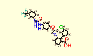 O=C(Nc1ccc(OC2CN(c3cccc(C(=O)O)c3-c3cccc(Cl)c3)C2)cc1)Nc1cccc(C(F)(F)F)c1